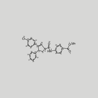 CC(C)OC(=O)c1ccc(NC(=O)N2CC(c3ccccc3)C(c3ccc(Cl)cc3)=N2)cc1